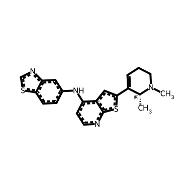 C[C@@H]1C(c2cc3c(Nc4ccc5scnc5c4)ccnc3s2)=CCCN1C